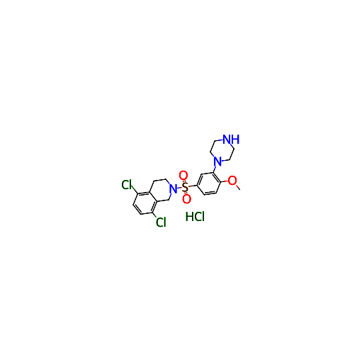 COc1ccc(S(=O)(=O)N2CCc3c(Cl)ccc(Cl)c3C2)cc1N1CCNCC1.Cl